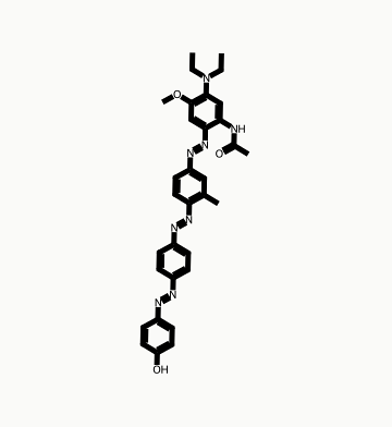 CCN(CC)c1cc(NC(C)=O)c(N=Nc2ccc(N=Nc3ccc(N=Nc4ccc(O)cc4)cc3)c(C)c2)cc1OC